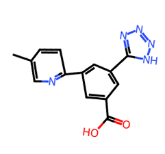 Cc1ccc(-c2cc(C(=O)O)cc(-c3nnn[nH]3)c2)nc1